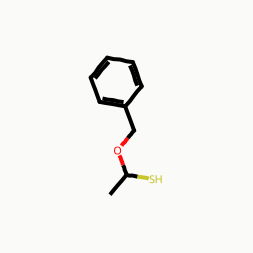 CC(S)OCc1ccccc1